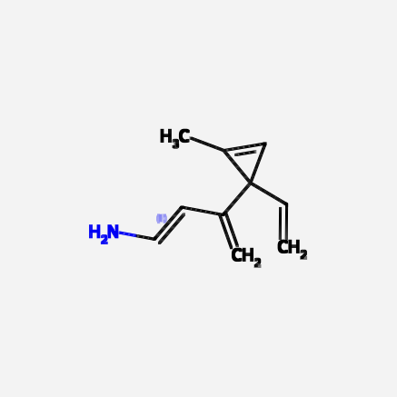 C=CC1(C(=C)/C=C/N)C=C1C